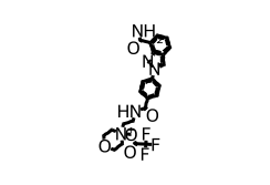 NC(=O)c1cccc2cn(-c3ccc(C(=O)NCC[N+]4(OC(=O)C(F)(F)F)CCOCC4)cc3)nc12